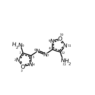 Nc1nonc1N=Nc1nonc1N